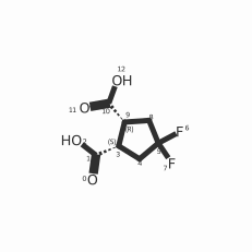 O=C(O)[C@H]1CC(F)(F)C[C@H]1C(=O)O